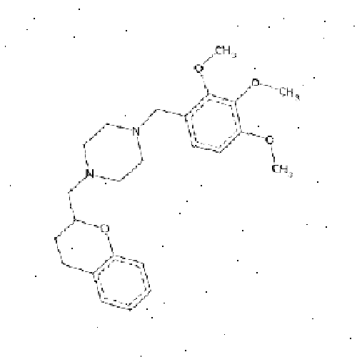 COc1ccc(CN2CCN(CC3CCc4ccccc4O3)CC2)c(OC)c1OC